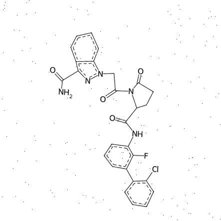 NC(=O)c1nn(CC(=O)N2C(=O)CCC2C(=O)Nc2cccc(-c3ccccc3Cl)c2F)c2ccccc12